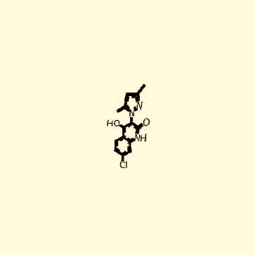 Cc1cc(C)n(-c2c(O)c3ccc(Cl)cc3[nH]c2=O)n1